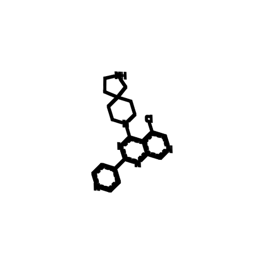 Clc1cncc2nc(-c3ccncc3)nc(N3CCC4(CCNC4)CC3)c12